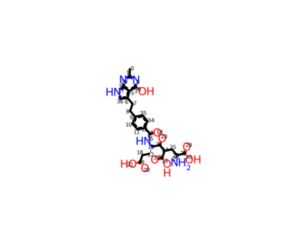 Cc1nc(O)c2c(CCc3ccc(C(=O)N[C@@H](CCC(=O)O)C(=O)C(C[C@H](N)C(=O)O)C(=O)O)cc3)c[nH]c2n1